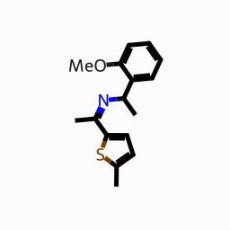 COc1ccccc1C(C)N=C(C)c1ccc(C)s1